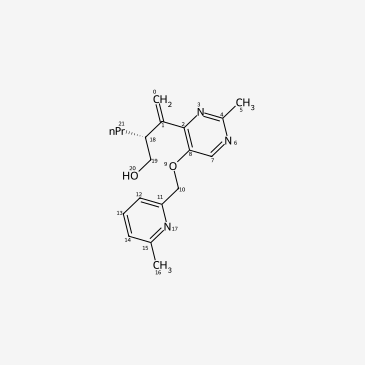 C=C(c1nc(C)ncc1OCc1cccc(C)n1)[C@H](CO)CCC